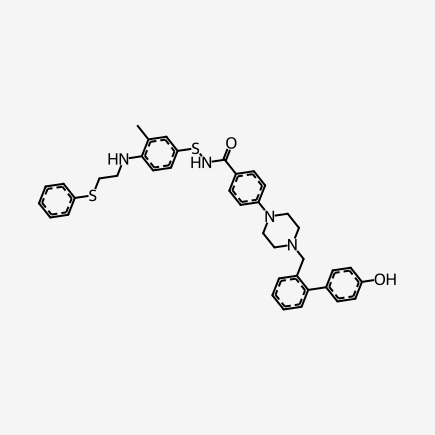 Cc1cc(SNC(=O)c2ccc(N3CCN(Cc4ccccc4-c4ccc(O)cc4)CC3)cc2)ccc1NCCSc1ccccc1